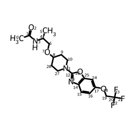 CC(=O)N[C@@H](C)COC1CCN(c2nc3ccc(OCC(F)(F)F)cc3o2)CC1